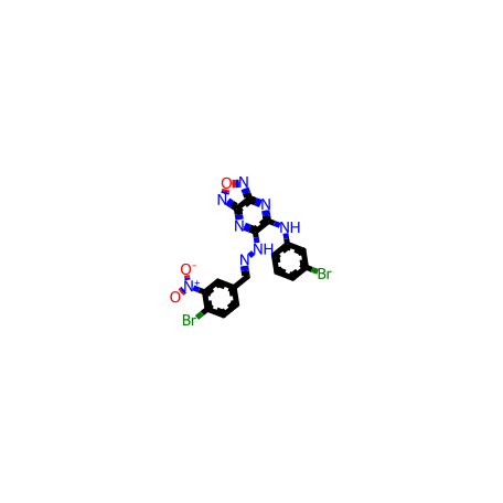 O=[N+]([O-])c1cc(C=NNc2nc3nonc3nc2Nc2cccc(Br)c2)ccc1Br